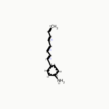 C=C/C=C/C=C/C=C/c1ccc(N)cc1